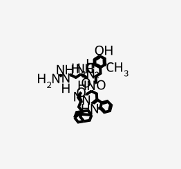 Cc1cc(O)cc(C)c1CC(NC(=O)C(N)CCNC(=N)N)C(=O)NC(Cc1c[nH]c2ccccc12)c1nc(CC23CC4CC(CC(C4)C2)C3)no1